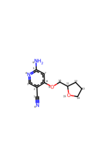 N#Cc1cnc(N)cc1OCC1CCCO1